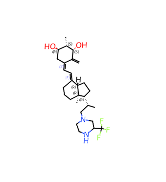 C=C1/C(=C\C=C2/CCC[C@]3(C)[C@@H](C(C)CN4CCNC(C(F)(F)F)C4)CC[C@@H]23)C[C@@H](O)[C@H](C)[C@@H]1O